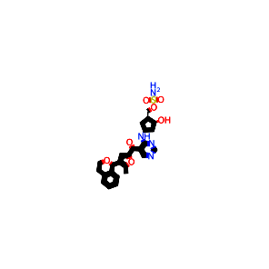 Cc1oc(C(=O)c2cncnc2N[C@@H]2C[C@H](COS(N)(=O)=O)[C@@H](O)C2)cc1C1OCCc2ccccc21